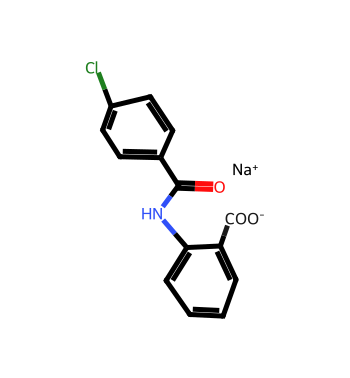 O=C(Nc1ccccc1C(=O)[O-])c1ccc(Cl)cc1.[Na+]